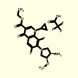 CCOC(=O)c1cn(C2CC2)c2c(F)c(N3C[C@@H](N)[C@@H](OC)C3)c(F)cc2c1=O.O=C(O)C(F)(F)F